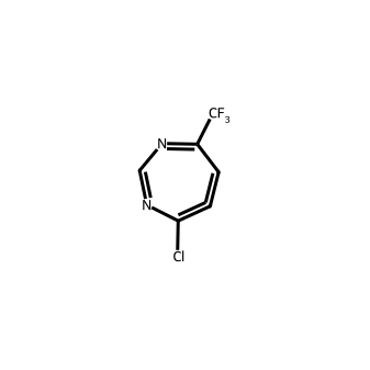 FC(F)(F)C1=NC=NC(Cl)=C=C1